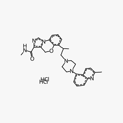 CNC(=O)c1ncn2c1COc1c(C(C)CN3CCN(c4cccc5nc(C)ccc45)CC3)cccc1-2.Cl.Cl